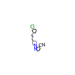 N#Cc1cccnc1N1CCC(=C/C=C/c2cccc(Cl)c2)CC1